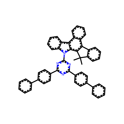 CC1(C)c2ccccc2-c2c1c1c(c3ccccc23)c2ccccc2n1-c1nc(-c2ccc(-c3ccccc3)cc2)nc(-c2ccc(-c3ccccc3)cc2)n1